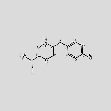 CC(F)C1CNC(Cc2ccc(Cl)cc2)CO1